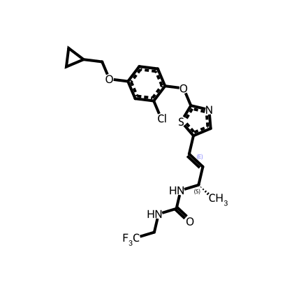 C[C@@H](/C=C/c1cnc(Oc2ccc(OCC3CC3)cc2Cl)s1)NC(=O)NCC(F)(F)F